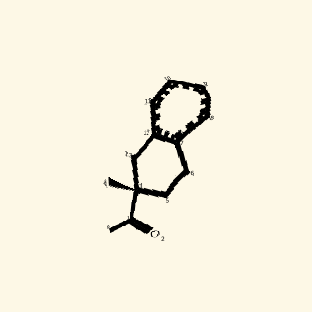 CC(=O)[C@@]1(C)CCc2ccccc2C1